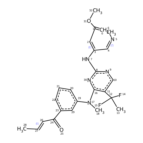 C=C(/C=C(\C=N/C)Nc1ncc(C(C)(F)F)c(N(C)c2cccc(C(=O)/C=C/C)c2)n1)OC